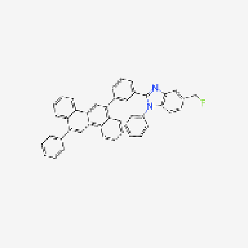 FCc1ccc2c(c1)nc(-c1cccc(-c3cc4c5ccccc5c(-c5ccccc5)cc4c4ccccc34)c1)n2-c1ccccc1